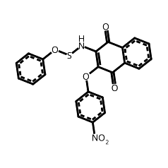 O=C1C(NSOc2ccccc2)=C(Oc2ccc([N+](=O)[O-])cc2)C(=O)c2ccccc21